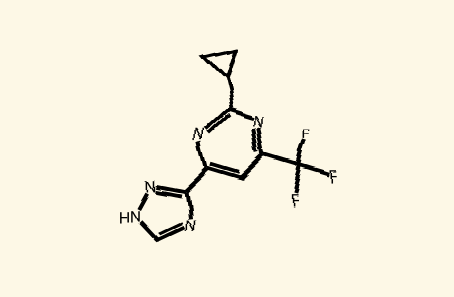 FC(F)(F)c1cc(-c2nc[nH]n2)nc(C2CC2)n1